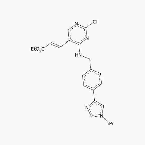 CCOC(=O)/C=C/c1cnc(Cl)nc1NCc1ccc(-c2cn(C(C)C)cn2)cc1